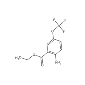 CCOC(=O)c1cc(OC(F)(F)F)ccc1N